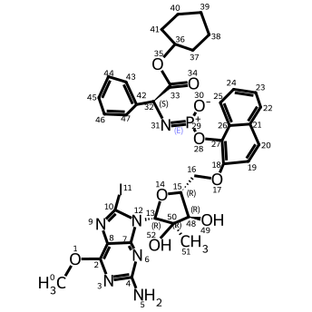 COc1nc(N)nc2c1nc(I)n2[C@@H]1O[C@H](COc2ccc3ccccc3c2O/[P+]([O-])=N/[C@H](C(=O)OC2CCCCC2)c2ccccc2)[C@@H](O)[C@@]1(C)O